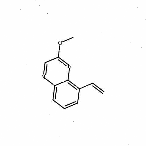 C=Cc1cccc2ncc(OC)nc12